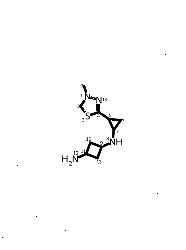 CN1CSC(C2CC2NC2CC(N)C2)=N1